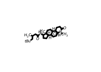 CC(CC(=O)NC1CC[C@H]2[C@@H]3CC[C@H]4N(C)C(=O)CC[C@]4(C)[C@H]3CC[C@]12C)CC(C)(C)C